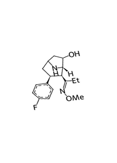 CCC(=NOC)[C@H]1[C@@H](c2ccc(F)cc2)CC2CC(O)[C@H]1N2